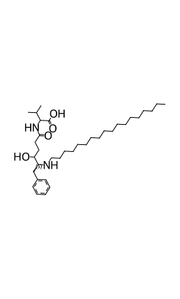 CCCCCCCCCCCCCCCCCCN[C@@H](Cc1ccccc1)C(O)CCC(=O)NC(C(=O)O)C(C)C